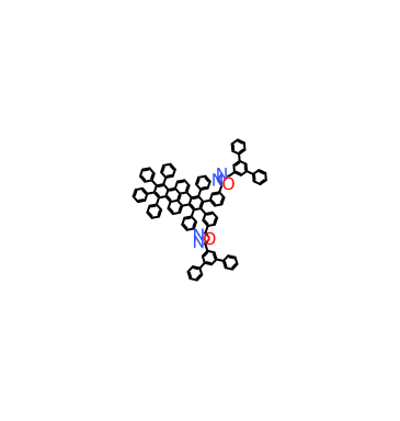 c1ccc(-c2cc(-c3ccccc3)cc(-c3nnc(-c4cccc(-c5c(-c6cccc(-c7nnc(-c8cc(-c9ccccc9)cc(-c9ccccc9)c8)o7)c6)c(-c6ccccc6)c6c7cccc8c9c(-c%10ccccc%10)c(-c%10ccccc%10)c(-c%10ccccc%10)c(-c%10ccccc%10)c9c9cccc(c6c5-c5ccccc5)c9c87)c4)o3)c2)cc1